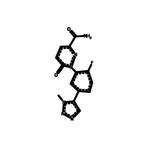 Cn1nncc1-c1ccc(F)c(-n2nc(C(N)=O)ccc2=O)c1